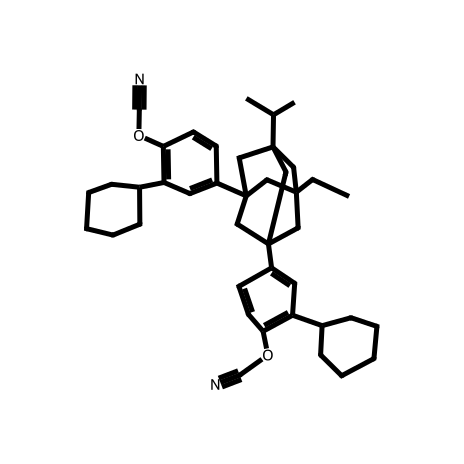 CCC12CC3(c4ccc(OC#N)c(C5CCCCC5)c4)CC(c4ccc(OC#N)c(C5CCCCC5)c4)(C1)CC(C(C)C)(C2)C3